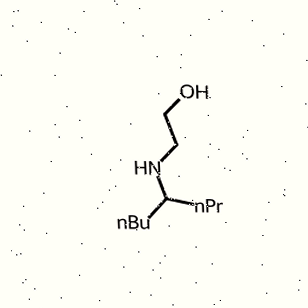 CCCCC(CCC)NCCO